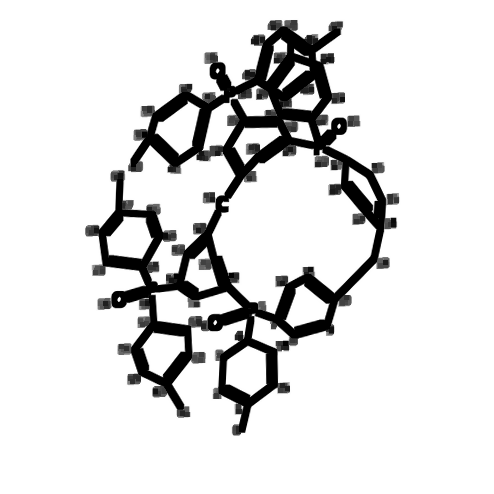 CC1=CCC(P2(=O)c3ccc(cc3)CC3=CCC(C=C3)P(=O)(c3ccc(C)cc3)c3cc(cc(P(=O)(c4ccc(C)cc4)c4ccc(C)cc4)c3)Cc3cc(P(=O)(c4ccc(C)cc4)c4ccc(C)cc4)cc2c3)C=C1